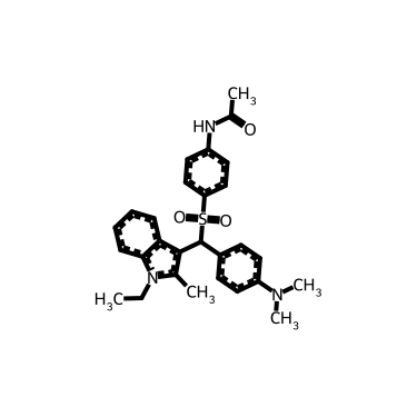 CCn1c(C)c(C(c2ccc(N(C)C)cc2)S(=O)(=O)c2ccc(NC(C)=O)cc2)c2ccccc21